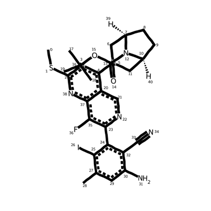 CSc1nc(N2C[C@H]3CC[C@@H](C2)N3C(=O)OC(C)(C)C)c2cnc(-c3c(I)c(C)cc(N)c3C#N)c(F)c2n1